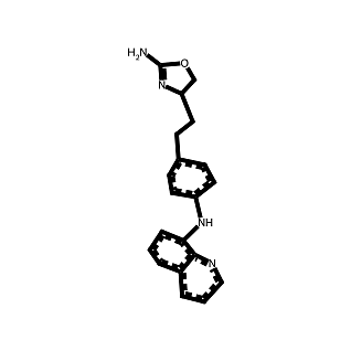 NC1=NC(CCc2ccc(Nc3cccc4cccnc34)cc2)CO1